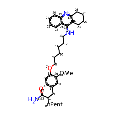 CCCCCC(Cc1ccc(OCCCCCCNc2c3c(nc4ccccc24)CCCC3)c(OC)c1)C(N)=O